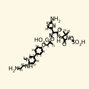 C[n+]1cc(-c2ccc(OC[C@](C)(O/N=C(\C(=O)N[C@@H]3C(=O)N(OS(=O)(=O)O)C3(C)C)c3csc(N)n3)C(=O)O)cc2)ccc1NCCN